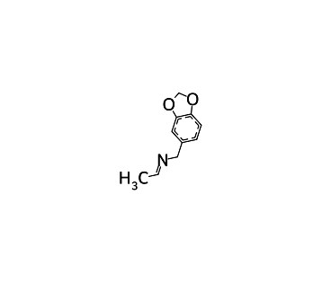 CC=NCc1ccc2c(c1)OCO2